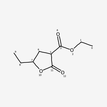 CCOC(=O)C1CC(CC)OC1=O